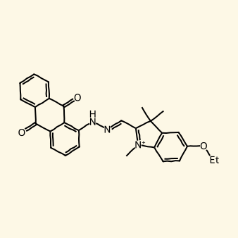 CCOc1ccc2c(c1)C(C)(C)C(C=NNc1cccc3c1C(=O)c1ccccc1C3=O)=[N+]2C